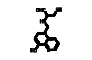 O=CC(CS)NCc1ccc(O)c2ncccc12